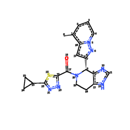 Cc1cccn2nc([C@@H]3c4nc[nH]c4CCN3C(=O)c3nnc(C4CC4)s3)cc12